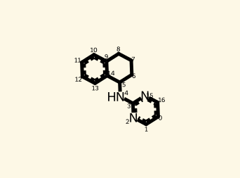 c1cnc(NC2CCCc3ccccc32)nc1